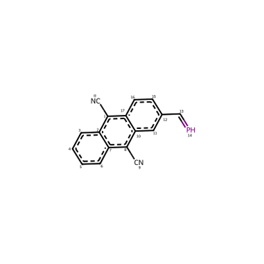 N#Cc1c2ccccc2c(C#N)c2cc(C=P)ccc12